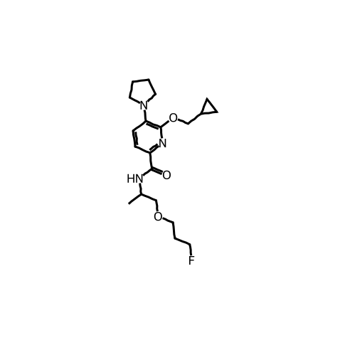 CC(COCCCF)NC(=O)c1ccc(N2CCCC2)c(OCC2CC2)n1